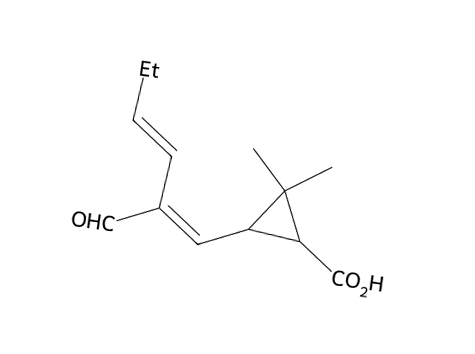 CCC=CC(C=O)=CC1C(C(=O)O)C1(C)C